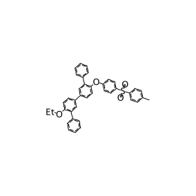 CCOc1ccc(-c2ccc(Oc3ccc(S(=O)(=O)c4ccc(C)cc4)cc3)c(-c3ccccc3)c2)cc1-c1ccccc1